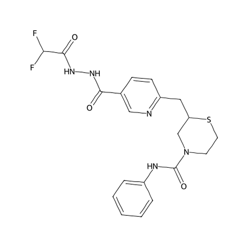 O=C(NNC(=O)C(F)F)c1ccc(CC2CN(C(=O)Nc3ccccc3)CCS2)nc1